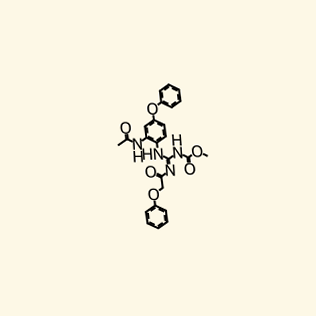 COC(=O)N/C(=N/C(=O)COc1ccccc1)Nc1ccc(Oc2ccccc2)cc1NC(C)=O